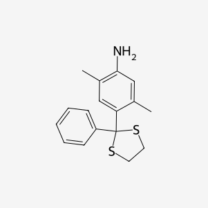 Cc1cc(C2(c3ccccc3)SCCS2)c(C)cc1N